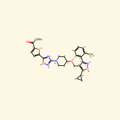 COC(=O)c1ccc(-c2nc(N3CCC(OCc4c(-c5ccccc5C)noc4C4CC4)CC3)no2)s1